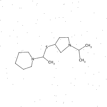 CC(C)N1CCC(SC(C)N2CCCCC2)C1